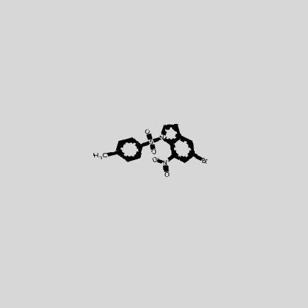 Cc1ccc(S(=O)(=O)n2ccc3cc(Br)cc([N+](=O)[O-])c32)cc1